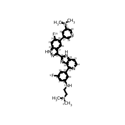 CN(C)CCNc1cc(F)cc(-c2nccc3[nH]c(-c4n[nH]c5cc(F)c(-c6cncc(N(C)C)c6)cc45)nc23)c1